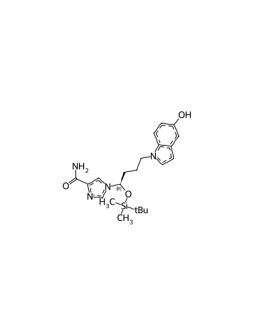 CC(C)(C)[Si](C)(C)O[C@H](CCCn1ccc2cc(O)ccc21)n1cnc(C(N)=O)c1